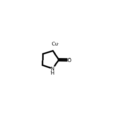 O=C1CCCN1.[Cu]